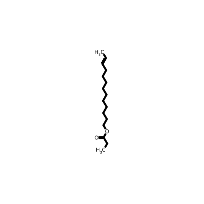 CC=CCCCCCCCCCCOC(=O)CC